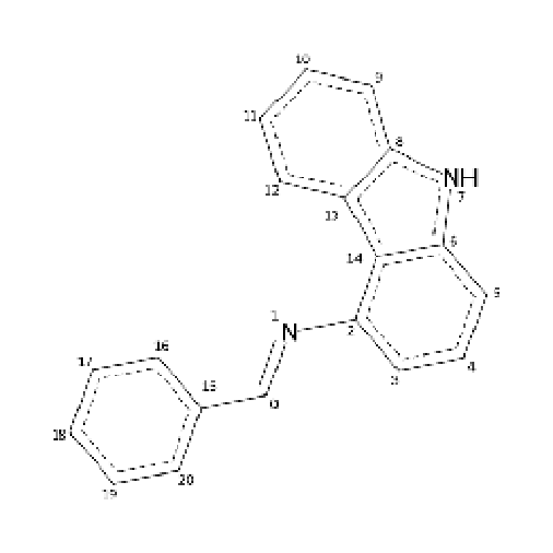 C(=Nc1cccc2[nH]c3ccccc3c12)c1ccccc1